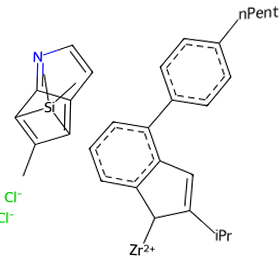 CC1=C2C3=NC=CC3=C1[Si]2(C)C.CCCCCc1ccc(-c2cccc3c2C=C(C(C)C)[CH]3[Zr+2])cc1.[Cl-].[Cl-]